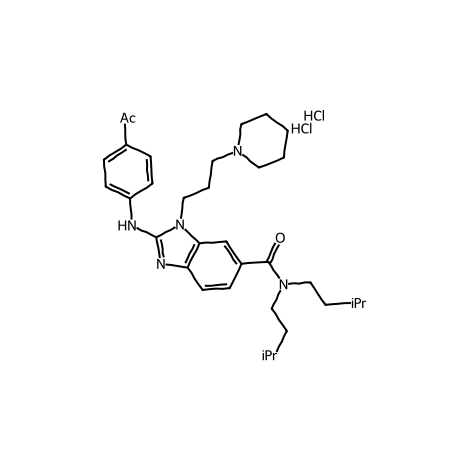 CC(=O)c1ccc(Nc2nc3ccc(C(=O)N(CCC(C)C)CCC(C)C)cc3n2CCCN2CCCCC2)cc1.Cl.Cl